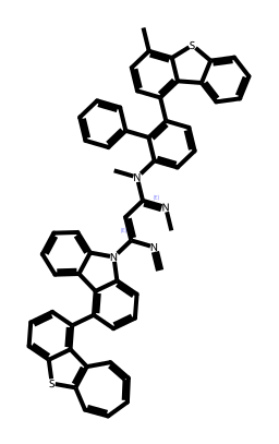 C=N/C(=C\C(=N/C)N(C)c1cccc(-c2ccc(C)c3sc4ccccc4c23)c1-c1ccccc1)n1c2ccccc2c2c(-c3cccc4sc5c(c34)C=C=CC=C5)cccc21